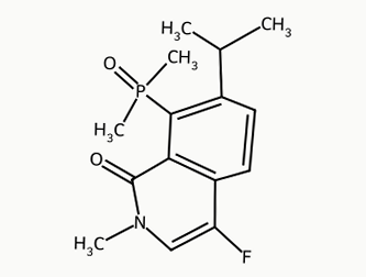 CC(C)c1ccc2c(F)cn(C)c(=O)c2c1P(C)(C)=O